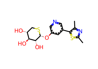 Cc1nc(C)c(-c2cncc(O[C@H]3SC[C@@H](O)[C@H](O)[C@H]3O)c2)s1